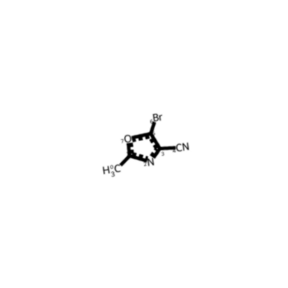 Cc1nc(C#N)c(Br)o1